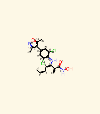 C=C(C(=O)NO)/C(=C\C=C/C)Nc1c(Cl)cc(-c2c(C)noc2C)cc1Cl